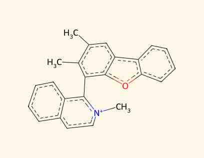 Cc1cc2c(oc3ccccc32)c(-c2c3ccccc3cc[n+]2C)c1C